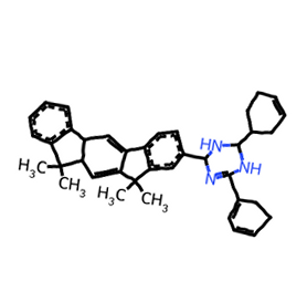 CC1(C)C2=CC3C(C=C2c2ccc(C4N=C(C5=CC=CCC5)NC(C5CC=CCC5)N4)cc21)c1ccccc1C3(C)C